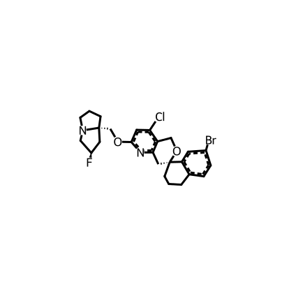 F[C@H]1CN2CCC[C@@]2(COc2cc(Cl)c3c(n2)C[C@]2(CCCc4ccc(Br)cc42)OC3)C1